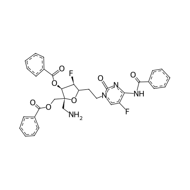 NC[C@]1(COC(=O)c2ccccc2)OC(CCn2cc(F)c(NC(=O)c3ccccc3)nc2=O)[C@H](F)[C@@H]1OC(=O)c1ccccc1